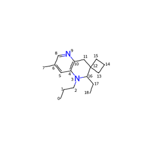 CCCN1c2cc(C)cnc2CC2(CCC2)C1CC